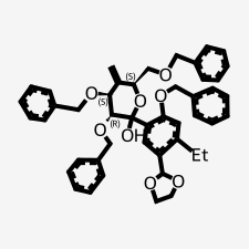 C=C1[C@@H](COCc2ccccc2)OC(O)(c2cc(C3OCCO3)c(CC)cc2OCc2ccccc2)[C@H](OCc2ccccc2)[C@H]1OCc1ccccc1